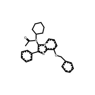 CC(=O)N(c1c(-c2ccccc2)nc2c(OCc3ccccc3)cccn12)C1CCCCC1